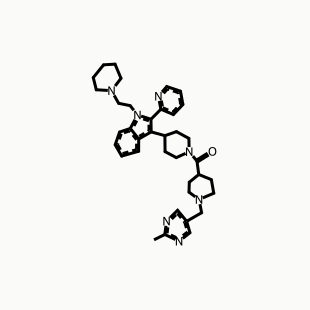 Cc1ncc(CN2CCC(C(=O)N3CCC(c4c(-c5ccccn5)n(CCN5CCCCC5)c5ccccc45)CC3)CC2)cn1